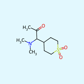 CC(=O)C(C1CCS(=O)(=O)CC1)N(C)C